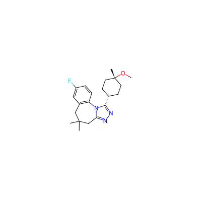 CO[C@]1(C)CC[C@H](c2nnc3n2-c2ccc(F)cc2CC(C)(C)C3)CC1